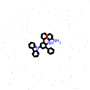 Nc1ccccc1Nc1c(-c2ccccc2)cc(-n2c3ccccc3c3ccccc32)cc1-c1ccccc1